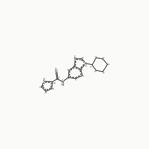 O=C(Nc1ccc2c(c1)ncn2C1CCCCC1)c1cccs1